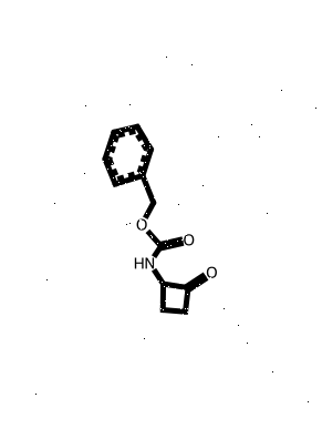 O=C(NC1CCC1=O)OCc1ccccc1